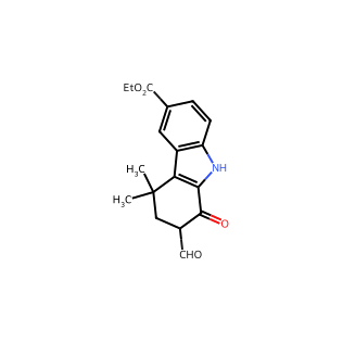 CCOC(=O)c1ccc2[nH]c3c(c2c1)C(C)(C)CC(C=O)C3=O